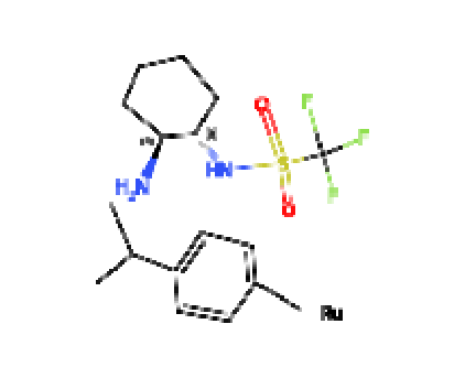 Cc1ccc(C(C)C)cc1.N[C@H]1CCCC[C@@H]1NS(=O)(=O)C(F)(F)F.[Ru]